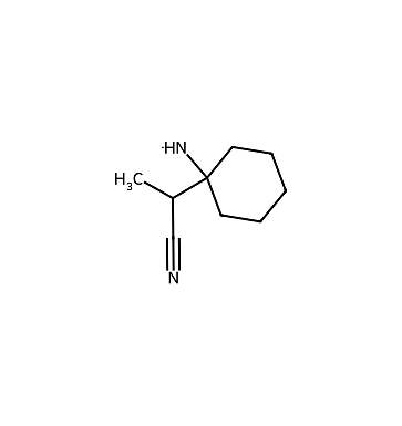 CC(C#N)C1([NH])CCCCC1